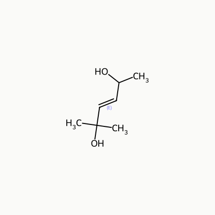 CC(O)/C=C/C(C)(C)O